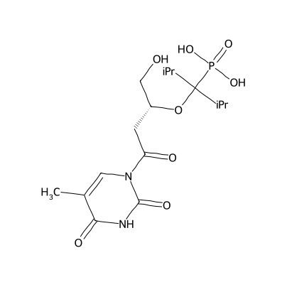 Cc1cn(C(=O)C[C@H](CO)OC(C(C)C)(C(C)C)P(=O)(O)O)c(=O)[nH]c1=O